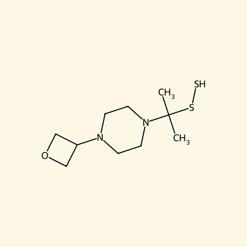 CC(C)(SS)N1CCN(C2COC2)CC1